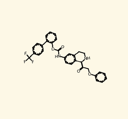 O=C(Nc1ccc2c(c1)CCNC2C(=O)COc1ccccc1)Oc1ccccc1-c1ccc(C(F)(F)F)cc1